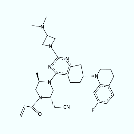 C=CC(=O)N1C[C@@H](C)N(c2nc(N3CC(N(C)C)C3)nc3c2CC[C@@H](N2CCCc4ccc(F)cc42)C3)C[C@@H]1CC#N